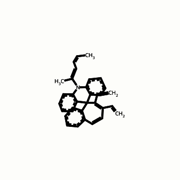 C=CC1=C(C=C)C2(c3ccccc3C=C1)c1ccccc1N(/C(C)=C/C=C\C)c1ccccc12